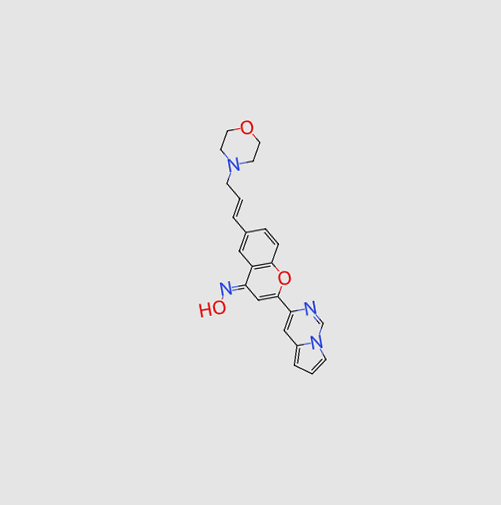 ON=c1cc(-c2cc3cccn3cn2)oc2ccc(C=CCN3CCOCC3)cc12